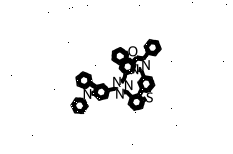 c1ccc(-c2nc(-c3ccc4c(c3)c3ccccc3n4-c3ccccc3)nc(-c3cccc4sc5ccc(-c6nc(-c7ccccc7)c7oc8ccccc8c7n6)cc5c34)n2)cc1